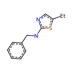 CCc1cnc([N]Cc2ccccc2)s1